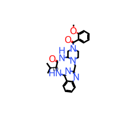 COc1ccccc1C(=O)N1CCN2Cc3nc(c4ccccc4n3)N[C@@H](C(C)C)C(=O)NC2C1